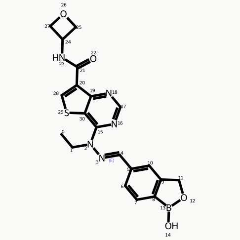 CCN(/N=C/c1ccc2c(c1)COB2O)c1ncnc2c(C(=O)NC3COC3)csc12